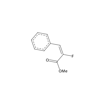 COC(=O)/C(F)=C\c1ccccc1